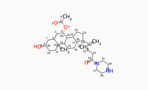 CC(=O)O[C@H]1CC2C[C@H](O)CC[C@]2(C)C2CC[C@]3(C)C(C(C)CCC(=O)N4CCNCC4)CCC3C21